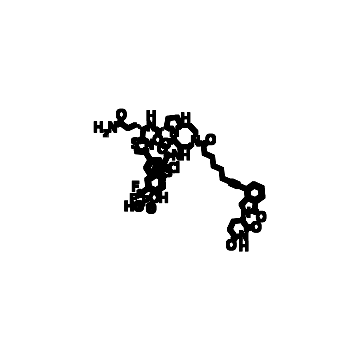 NC(=O)CC[C@H](NC(=O)[C@@H]1CC[C@@H]2CCN(C(=O)CCCCCC#Cc3cccc4c3CN(C3CCC(=O)NC3=O)C4=O)C[C@H](NC(=O)c3cc4cc(C(F)(F)P(=O)(O)O)ccc4s3)C(=O)N21)c1nc(-c2ccc(F)c(Cl)c2)cs1